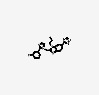 CCCn1c(Cn2ccnc2-c2cccc(F)c2)nc2ccc(-c3ncon3)cc21